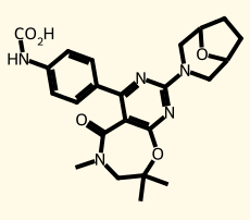 CN1CC(C)(C)Oc2nc(N3CC4CCC(C3)O4)nc(-c3ccc(NC(=O)O)cc3)c2C1=O